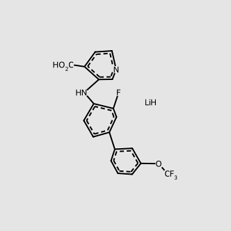 O=C(O)c1ccncc1Nc1ccc(-c2cccc(OC(F)(F)F)c2)cc1F.[LiH]